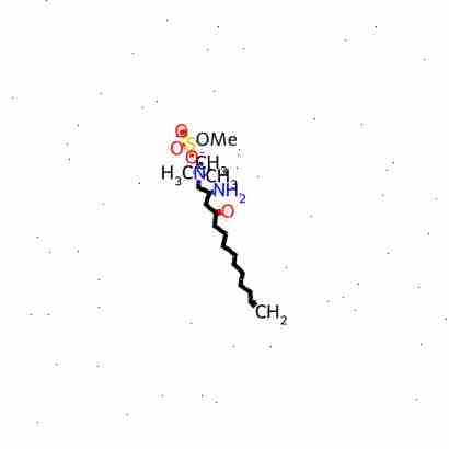 C=CCCCCCCCCC(=O)CC(N)C[N+](C)(C)C.COS(=O)(=O)[O-]